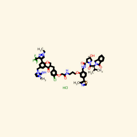 CCn1cc(-c2cc(Cn3ccn(C)c3=N)cc3c2OCC(Cc2ccc(Cl)c(OCC(=O)NCCCOc4cc(-c5scnc5C)ccc4CNC(=O)[C@@H]4C[C@@H](O)CN4C(=O)[C@H](C(C)C)N4Cc5ccccc5C4=O)c2)C3=O)c(C(F)(F)F)n1.Cl